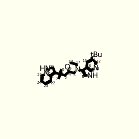 CC(C)(CC1CN(c2c[nH]c3ncc(C(C)(C)C)cc23)CCO1)C1=C2C=CC=CN2NC1